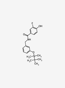 CC(C)(C)[Si](C)(C)Oc1cccc(CNC(=O)c2ccc(O)c(F)c2)c1